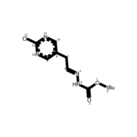 CC(C)(C)OC(=O)NN=CCc1cnc(Cl)nc1